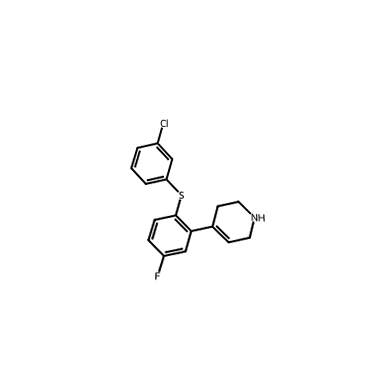 Fc1ccc(Sc2cccc(Cl)c2)c(C2=CCNCC2)c1